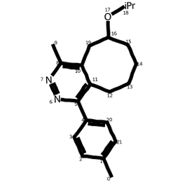 Cc1ccc(-c2nnc(C)c3c2CCCCC(OC(C)C)C3)cc1